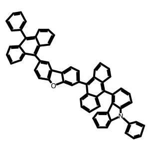 c1ccc(-c2c3ccccc3c(-c3ccc4oc5cc(-c6c7ccccc7c(-c7cccc8c7c7ccccc7n8-c7ccccc7)c7ccccc67)ccc5c4c3)c3ccccc23)cc1